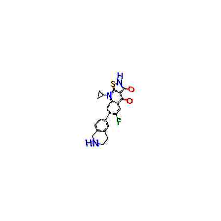 O=c1[nH]sc2c1c(=O)c1cc(F)c(-c3ccc4c(c3)CCNC4)cc1n2C1CC1